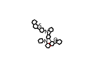 c1ccc(N(c2ccccc2)c2cc3c(cc2-c2cccc4c2oc2ccccc24)c2ccccc2n3-c2ccc3c(c2)sc2c4ccccc4ccc32)cc1